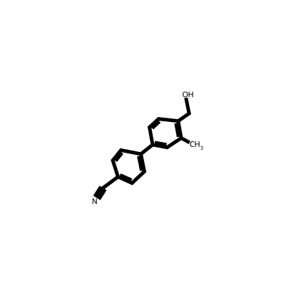 Cc1cc(-c2ccc(C#N)cc2)ccc1CO